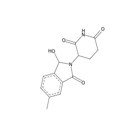 Cc1ccc2c(c1)C(=O)N(C1CCC(=O)NC1=O)C2O